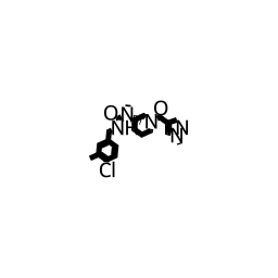 Cc1cc(CNC(=O)N(C)[C@@H]2CCCN(C(=O)c3cnn(C)c3)C2)ccc1Cl